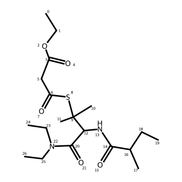 CCOC(=O)CC(=O)SC(C)(C)C(NC(=O)C(C)CC)C(=O)N(CC)CC